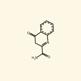 NC(=O)C1=Nc2ccccc2C(=O)C1